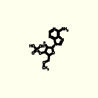 COCC1OC(n2cnc3c(N)ncnc32)C(F)C1OP(=O)(O)O